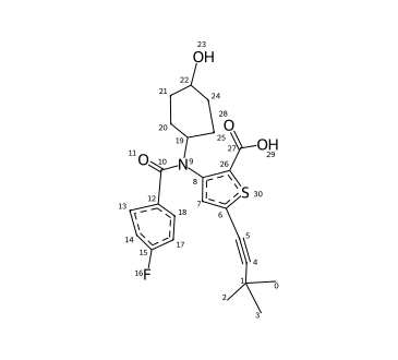 CC(C)(C)C#Cc1cc(N(C(=O)c2ccc(F)cc2)C2CCC(O)CC2)c(C(=O)O)s1